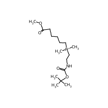 COC(=O)CCCCC[N+](C)(C)CCNC(=O)OC(C)(C)C